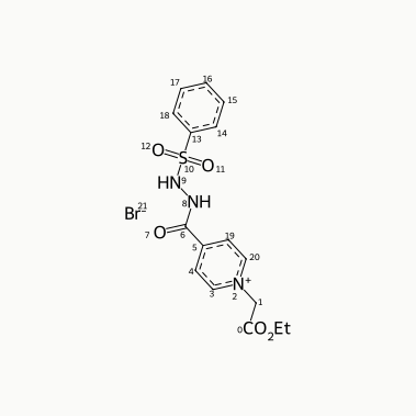 CCOC(=O)C[n+]1ccc(C(=O)NNS(=O)(=O)c2ccccc2)cc1.[Br-]